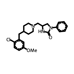 COc1ccc(Cl)c(CC2CCN(CC3CN(c4ccccc4)C(=O)N3)CC2)c1